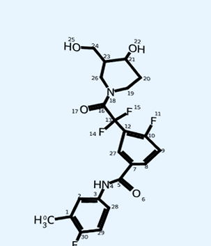 Cc1cc(NC(=O)c2ccc(F)c(C(F)(F)C(=O)N3CCC(O)C(CO)C3)c2)ccc1F